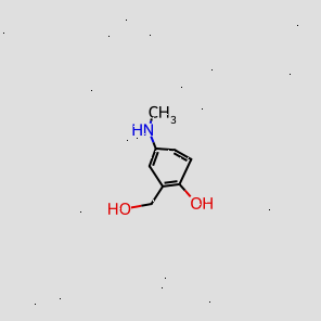 CNc1ccc(O)c(CO)c1